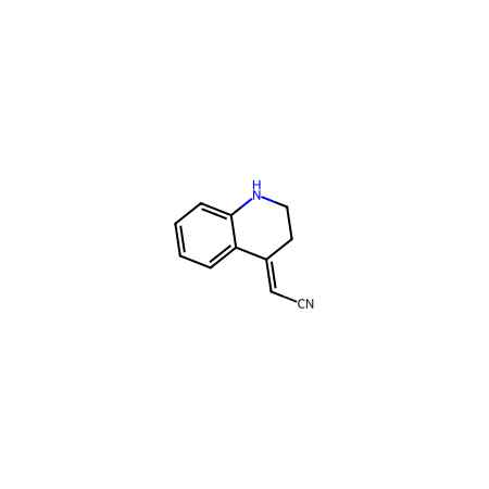 N#CC=C1CCNc2ccccc21